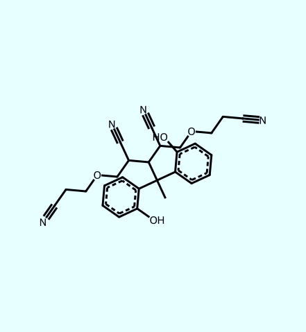 CC(c1ccccc1O)(c1ccccc1O)C(C(C#N)COCCC#N)C(C#N)COCCC#N